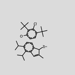 CC(C)(C)c1ccc([O-])c(C(C)(C)C)c1Cl.CC1=Cc2c(ccc(C(C)C)c2C(C)C)[CH]1[Zr+]